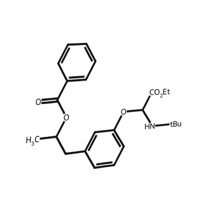 CCOC(=O)C(NC(C)(C)C)Oc1cccc(CC(C)OC(=O)c2ccccc2)c1